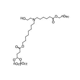 CCCCCCCCCCCOC(=O)CCCCCN(CCO)CCCCCCCCOC(=O)CCC(OCCCCCCCC)OCCCCCCCC